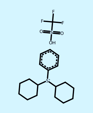 O=S(=O)(O)C(F)(F)F.c1ccc([S+](C2CCCCC2)C2CCCCC2)cc1